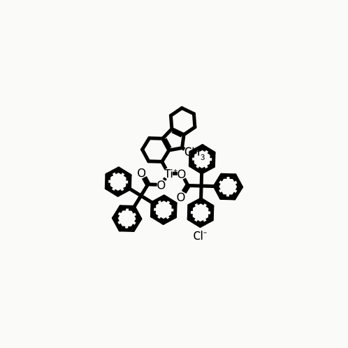 CC1C2=C(CCCC2)C2=C1[CH]([Ti+]([O]C(=O)C(c1ccccc1)(c1ccccc1)c1ccccc1)[O]C(=O)C(c1ccccc1)(c1ccccc1)c1ccccc1)CCC2.[Cl-]